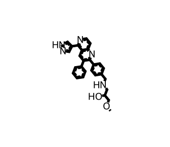 COCC(O)CNCc1ccc(-c2nc3ccnc(-c4cn[nH]c4)c3cc2-c2ccccc2)cc1